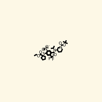 CCOC(=O)C1(Sc2cc(C(F)(F)F)c(C(=O)N(C(C)C)[C@@H]3CCCN(C(=O)OC(C)(C)C)C3)cc2[N+](=O)[O-])CCCC1